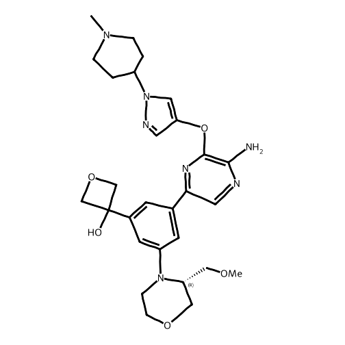 COC[C@@H]1COCCN1c1cc(-c2cnc(N)c(Oc3cnn(C4CCN(C)CC4)c3)n2)cc(C2(O)COC2)c1